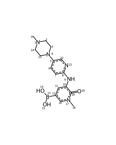 CN1CCN(c2ccc(Nc3cc(B(O)O)cn(C)c3=O)nc2)CC1